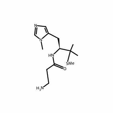 CSC(C)(C)[C@H](Cc1cncn1C)NC(=O)CCN